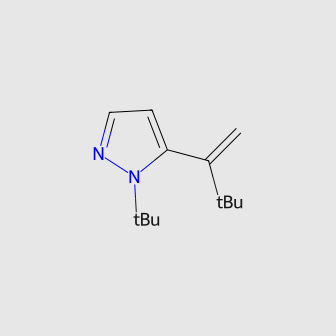 C=C(c1ccnn1C(C)(C)C)C(C)(C)C